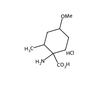 COC1CCC(N)(C(=O)O)C(C)C1.Cl